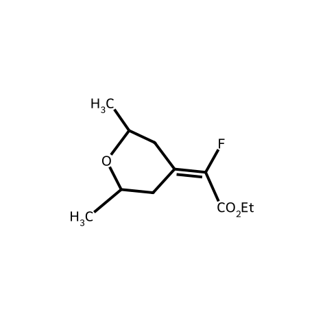 CCOC(=O)C(F)=C1CC(C)OC(C)C1